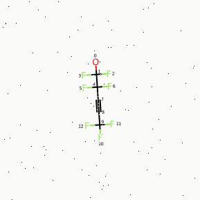 [O]C(F)(F)C(F)(F)C#CC(F)(F)F